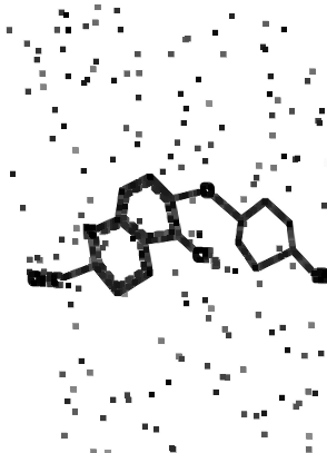 CC(C)(C)C1CCC(Oc2ccc3nc(C=O)ccc3c2C(F)(F)F)CC1